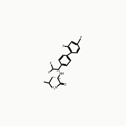 CC(C)C[C@H](N[C@@H](c1ccc(-c2ccc(F)cc2F)cc1)C(F)F)C(N)=O